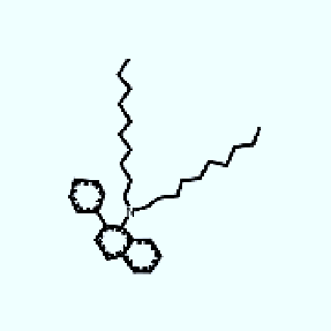 CCCCCCCCCCN(CCCCCCCCCC)c1c(-c2ccccc2)ccc2ccccc12